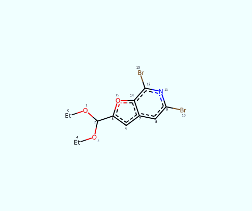 CCOC(OCC)c1cc2cc(Br)nc(Br)c2o1